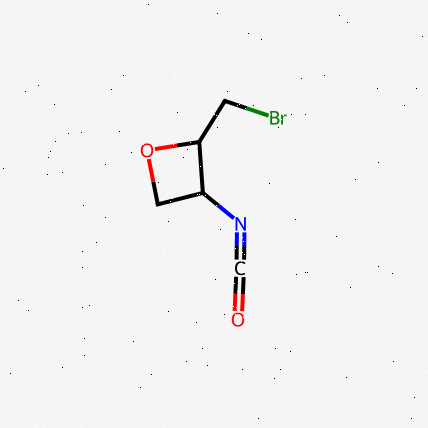 O=C=NC1COC1CBr